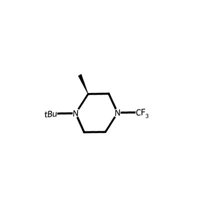 C[C@H]1CN(C(F)(F)F)CCN1C(C)(C)C